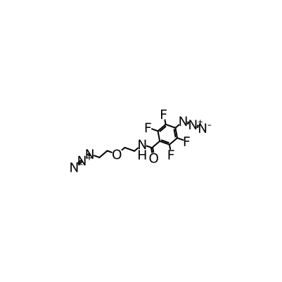 [N-]=[N+]=NCCOCCNC(=O)c1c(F)c(F)c(N=[N+]=[N-])c(F)c1F